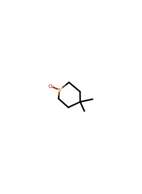 CC1(C)CC[S+]([O-])CC1